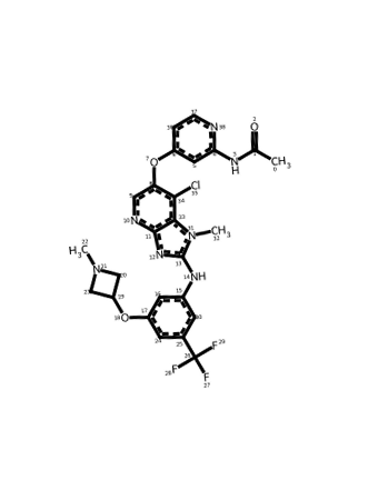 CC(=O)Nc1cc(Oc2cnc3nc(Nc4cc(OC5CN(C)C5)cc(C(F)(F)F)c4)n(C)c3c2Cl)ccn1